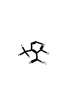 NC(=O)c1c(C(F)(F)F)ccnc1Cl